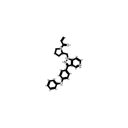 C=CC(=O)N1CCCC1Cn1nc(-c2ccc(Oc3ccccc3)cc2)c2cnccc21